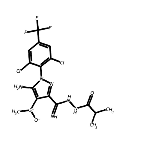 CC(C)C(=O)NNC(=N)c1nn(-c2c(Cl)cc(C(F)(F)F)cc2Cl)c(N)c1[S+](C)[O-]